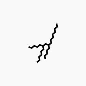 CCCCCCCCC(CCCCC)CC(CCCCC)CCCCCC